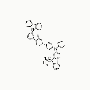 CC1(C)c2ccccc2-c2ccc(N(c3ccccc3)c3ccc(-c4ccc5c(c4)sc4c(-n6c7ccccc7c7ccccc76)cccc45)cc3)cc21